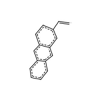 [CH]=Cc1ccc2cc3ccccc3cc2c1